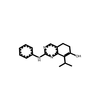 CC(C)C1=C(O)CCc2cnc(Nc3ccccc3)nc21